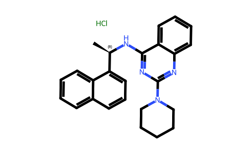 C[C@@H](Nc1nc(N2CCCCC2)nc2ccccc12)c1cccc2ccccc12.Cl